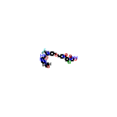 O=C1CCN(c2cc(C(=O)N3CCC(CCOCC4CCC(n5cc(NC(=O)c6cnn7ccc(N8C[C@H]9C[C@@H]8CO9)nc67)c(C(F)F)n5)CC4)CC3)ccc2Cl)C(=O)N1